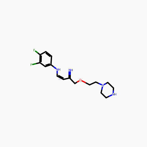 N=C(/C=C\Nc1ccc(F)c(F)c1)COCCN1CCNCC1